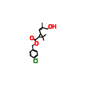 CC(=CC1C(C(=O)OCc2ccc(Cl)cc2)C1(C)C)CO